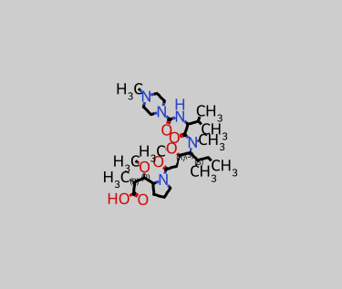 CC[C@H](C)[C@@H]([C@@H](CC(=O)N1CCCC1[C@H](OC)[C@@H](C)C(=O)O)OC)N(C)C(=O)C(NC(=O)N1CCN(C)CC1)C(C)C